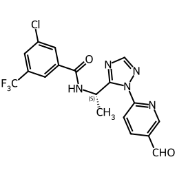 C[C@H](NC(=O)c1cc(Cl)cc(C(F)(F)F)c1)c1ncnn1-c1ccc(C=O)cn1